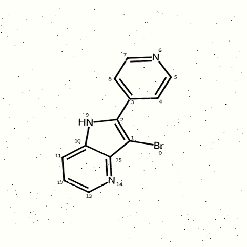 Brc1c(-c2ccncc2)[nH]c2cccnc12